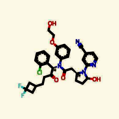 N#Cc1ccnc(N2C(O)CC[C@H]2CC(=O)N(c2cccc(OCCO)c2)[C@H](C(=O)CCC2CC(F)(F)C2)c2ccccc2Cl)c1